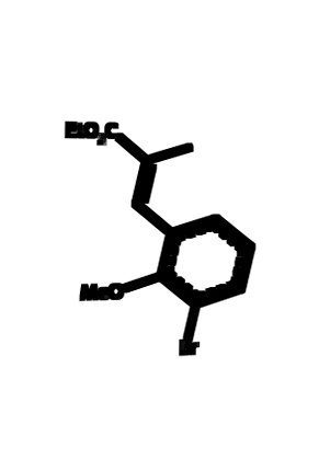 CCOC(=O)/C(C)=C/c1cccc(Br)c1OC